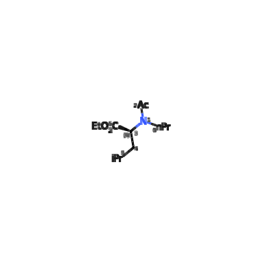 CCCN(C(C)=O)[C@@H](CC(C)C)C(=O)OCC